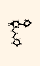 O=c1ccc(-c2ccccn2)nn1CCCN1CCCC1